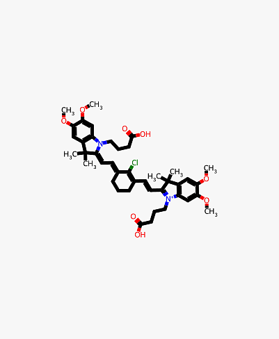 COc1cc2c(cc1OC)C(C)(C)/C(=C/C=C1\CCCC(/C=C/C3=[N+](CCCC(=O)O)c4cc(OC)c(OC)cc4C3(C)C)=C1Cl)N2CCCC(=O)O